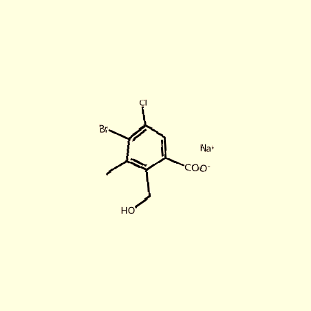 Cc1c(Br)c(Cl)cc(C(=O)[O-])c1CO.[Na+]